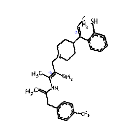 C=C(Cc1ccc(C(F)(F)F)cc1)N/C(C)=C(\N)CN1CCC(/C(=C/C)c2ccccc2S)CC1